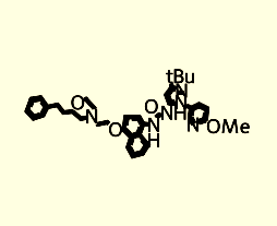 COc1ccc(-n2nc(C(C)(C)C)cc2NC(=O)Nc2ccc(OCCN3CCOC(CCc4ccccc4)C3)c3ccccc23)cn1